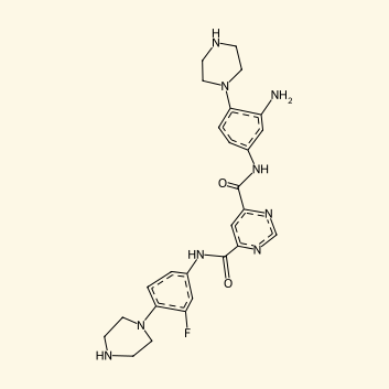 Nc1cc(NC(=O)c2cc(C(=O)Nc3ccc(N4CCNCC4)c(F)c3)ncn2)ccc1N1CCNCC1